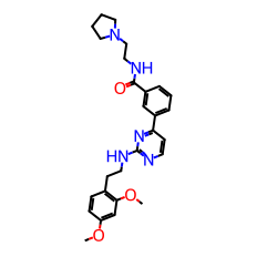 COc1ccc(CCNc2nccc(-c3cccc(C(=O)NCCN4CCCC4)c3)n2)c(OC)c1